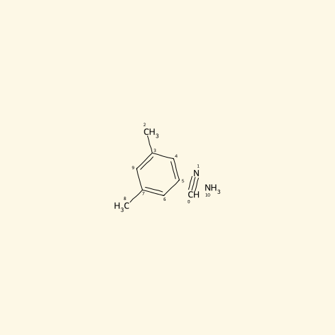 C#N.Cc1cccc(C)c1.N